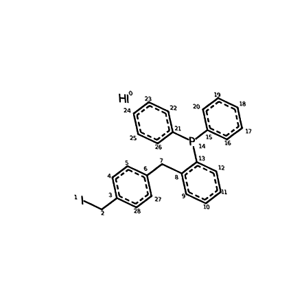 I.ICc1ccc(Cc2ccccc2P(c2ccccc2)c2ccccc2)cc1